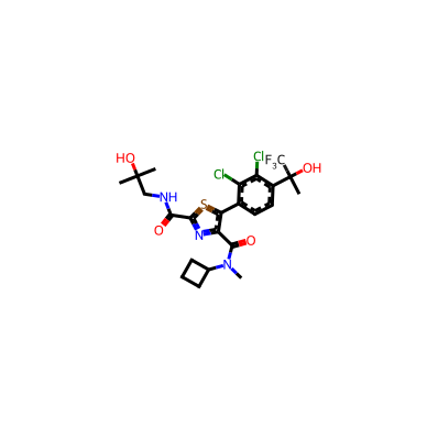 CN(C(=O)c1nc(C(=O)NCC(C)(C)O)sc1-c1ccc(C(C)(O)C(F)(F)F)c(Cl)c1Cl)C1CCC1